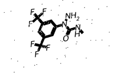 CNC(=O)N(N)c1cc(C(F)(F)F)cc(C(F)(F)F)c1